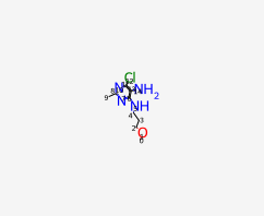 COCCCNc1nc(C)nc(Cl)c1N